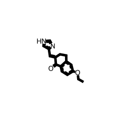 CCOc1ccc2c(c1)CCC(=Cc1c[nH]cn1)C2=O